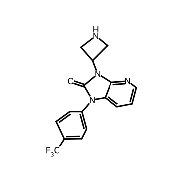 O=c1n(-c2ccc(C(F)(F)F)cc2)c2cccnc2n1C1CNC1